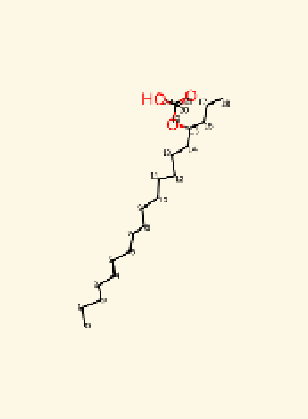 CCCCCCCCCCCCCCCC(CCC)OC(=O)O